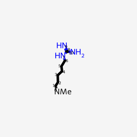 CNCCCCCCNC(=N)N